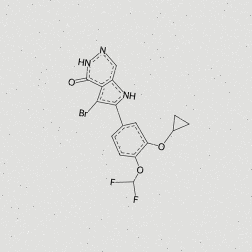 O=c1[nH]ncc2[nH]c(-c3ccc(OC(F)F)c(OC4CC4)c3)c(Br)c12